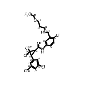 O=C(Nc1ccc(Cl)c(CNCCCOCC(F)(F)F)c1)C1C(c2cc(Cl)cc(Cl)c2)C1(Cl)Cl